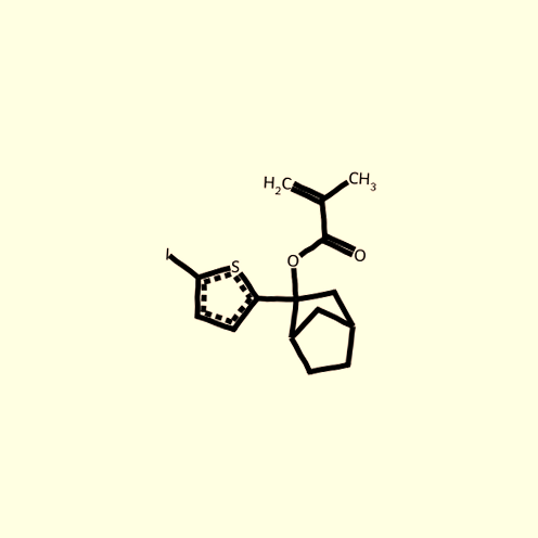 C=C(C)C(=O)OC1(c2ccc(I)s2)CC2CCC1C2